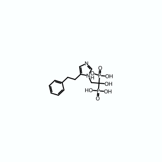 O=P(O)(O)C(O)(Cn1cncc1CCc1ccccc1)P(=O)(O)O